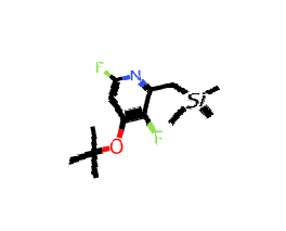 CC(C)(C)Oc1cc(F)nc(C[Si](C)(C)C)c1F